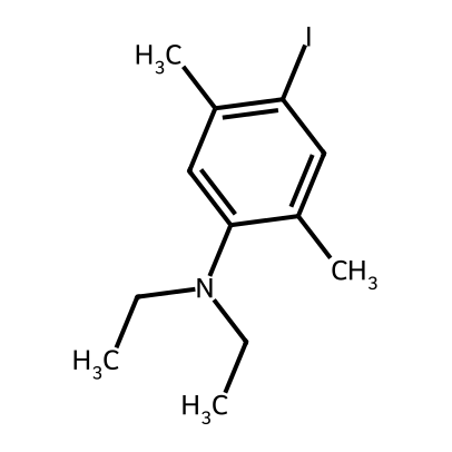 CCN(CC)c1cc(C)c(I)cc1C